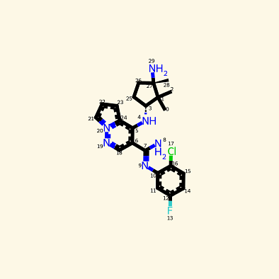 CC1(C)[C@H](Nc2c(/C(N)=N/c3cc(F)ccc3Cl)cnn3cccc23)CC[C@]1(C)N